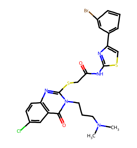 CN(C)CCCn1c(SCC(=O)Nc2nc(-c3cccc(Br)c3)cs2)nc2ccc(Cl)cc2c1=O